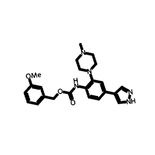 COc1cccc(COC(=O)Nc2ccc(-c3cn[nH]c3)cc2N2CCN(C)CC2)c1